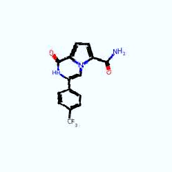 NC(=O)c1ccc2c(=O)[nH]c(-c3ccc(C(F)(F)F)cc3)cn12